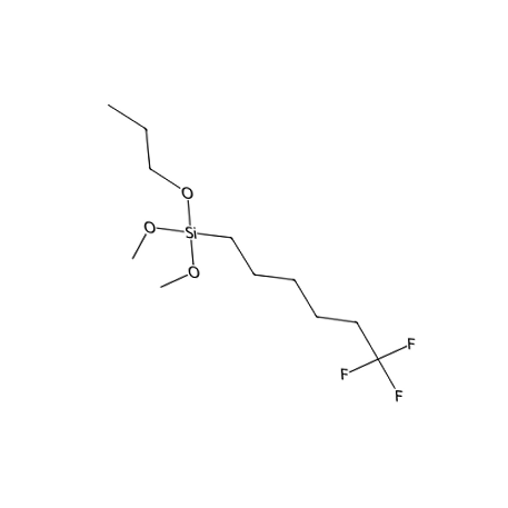 CCCO[Si](CCCCCC(F)(F)F)(OC)OC